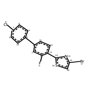 Fc1cc(-c2ccc(Cl)cc2)ccc1-c1nc(Br)cs1